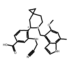 COc1cc(C)c2[nH]ccc2c1CN1CCC2(CC2)C[C@@H]1c1ccc(C(=O)O)cc1NCC#N